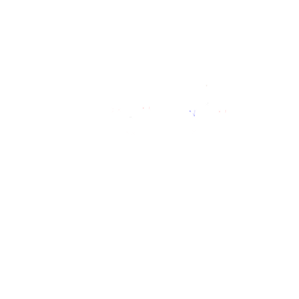 CCCCCON(CCOC(=O)Oc1ccccc1)C(=O)S